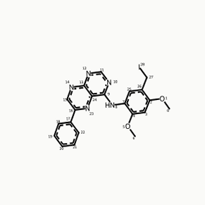 COc1cc(OC)c(Nc2ncnc3ncc(-c4ccccc4)nc23)cc1CI